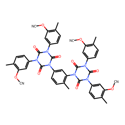 Cc1ccc(-n2c(=O)n(-c3ccc(C)c(OC#N)c3)c(=O)n(-c3ccc(C)c(-n4c(=O)n(-c5ccc(C)c(OC#N)c5)c(=O)n(-c5ccc(C)c(OC#N)c5)c4=O)c3)c2=O)cc1OC#N